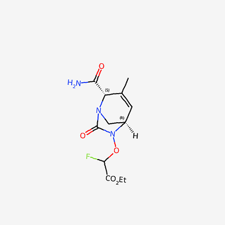 CCOC(=O)C(F)ON1C(=O)N2C[C@H]1C=C(C)[C@H]2C(N)=O